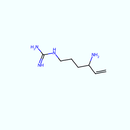 C=CC(N)CCCNC(=N)N